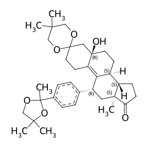 CC1(C)COC2(CCC3=C4[C@@H](CC[C@@]3(O)C2)[C@@H]2CCC(=O)[C@@]2(C)C[C@@H]4c2ccc(C3(C)OCC(C)(C)O3)cc2)OC1